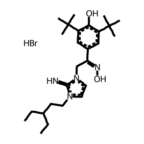 Br.CCC(CC)CCn1ccn(C/C(=N\O)c2cc(C(C)(C)C)c(O)c(C(C)(C)C)c2)c1=N